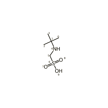 CC(C)(C)NCS(=O)(=O)O